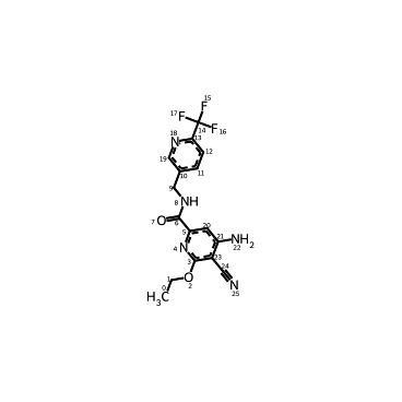 CCOc1nc(C(=O)NCc2ccc(C(F)(F)F)nc2)cc(N)c1C#N